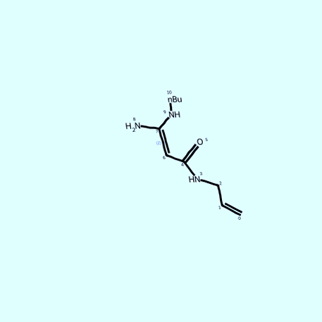 C=CCNC(=O)/C=C(/N)NCCCC